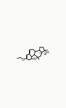 CCOC1=CC2=CCC3C(C2CC1)C(C)(O)C[C@@]1(CC)C3CCC1(C)O